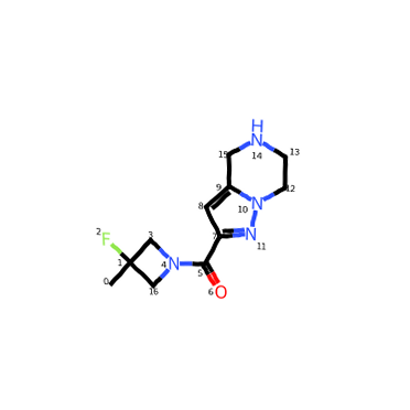 CC1(F)CN(C(=O)c2cc3n(n2)CCNC3)C1